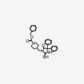 N=C1NC(c2ccccc2)(c2ccccc2)C(=O)N1CC1CCN(C(=O)OCc2ccccc2)CC1